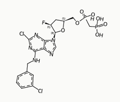 O=P(O)(O)CP(=O)(O)OC[C@@H]1C[C@H](F)[C@H](n2cnc3c(NCc4cccc(Cl)c4)nc(Cl)nc32)O1